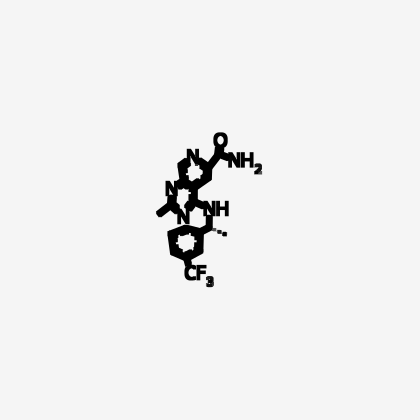 Cc1nc(N[C@H](C)c2cccc(C(F)(F)F)c2)c2cc(C(N)=O)ncc2n1